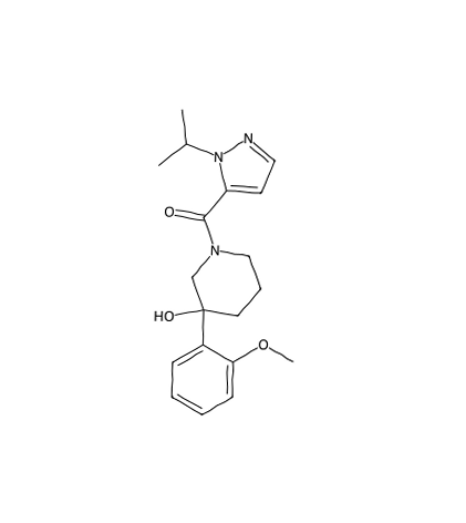 COc1ccccc1C1(O)CCCN(C(=O)c2ccnn2C(C)C)C1